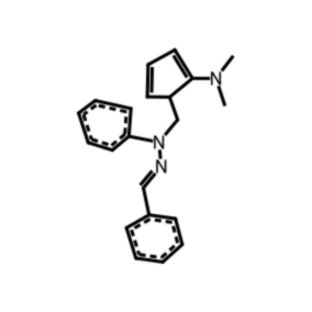 CN(C)C1=CC=CC1CN(N=Cc1ccccc1)c1ccccc1